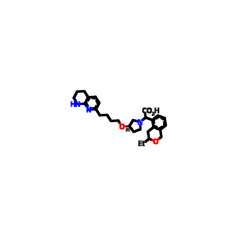 CCC1Cc2c(cccc2C(C(=O)O)N2CC[C@@H](OCCCCc3ccc4c(n3)NCCC4)C2)CO1